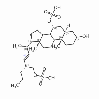 CCC[C@H](/C=C/[C@@H](C)[C@H]1CCC2C3C(CC[C@@]21C)[C@@]1(C)CC[C@H](O)C[C@@H]1C[C@H]3OS(=O)(=O)O)COS(=O)(=O)O